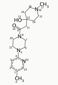 Cc1ccc(N2CCN(C(=O)CC3(O)CCN(C)CC3)CC2)nc1